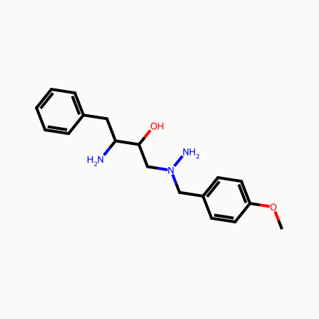 COc1ccc(CN(N)CC(O)C(N)Cc2ccccc2)cc1